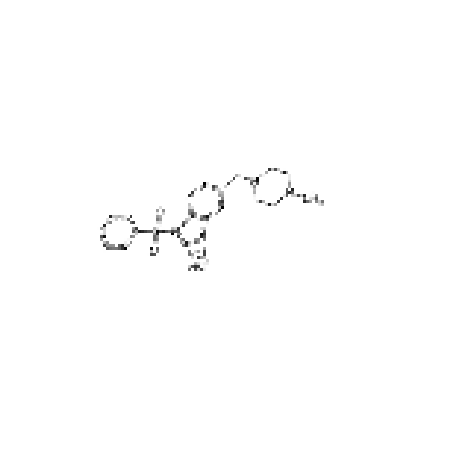 CN1CCN(Cc2ccc3c(ccn3S(=O)(=O)c3ccccc3)c2)CC1.Cl.Cl